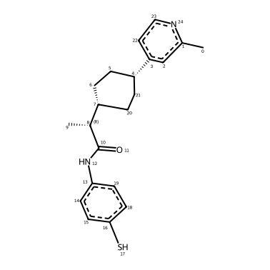 Cc1cc([C@H]2CC[C@@H]([C@@H](C)C(=O)Nc3ccc(S)cc3)CC2)ccn1